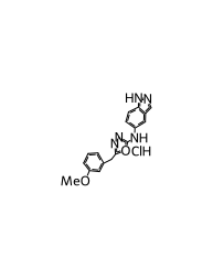 COc1cccc(Cc2nnc(Nc3ccc4[nH]ncc4c3)o2)c1.Cl